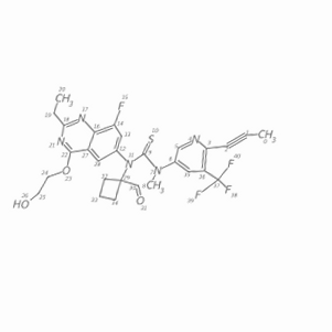 CC#Cc1ncc(N(C)C(=S)N(c2cc(F)c3nc(CC)nc(OCCO)c3c2)C2(C=O)CCC2)cc1C(F)(F)F